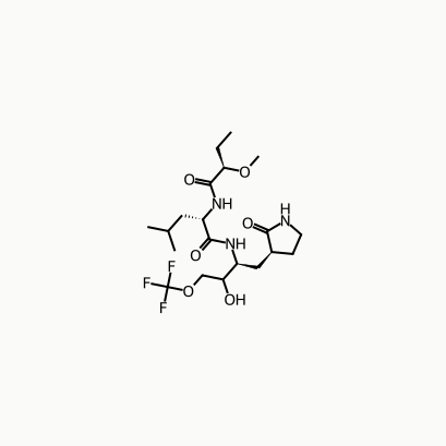 CC[C@@H](OC)C(=O)N[C@@H](CC(C)C)C(=O)N[C@@H](C[C@@H]1CCNC1=O)C(O)COC(F)(F)F